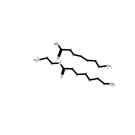 CCCCCCCC(=O)O.CCCCCCCC(=O)OCCC